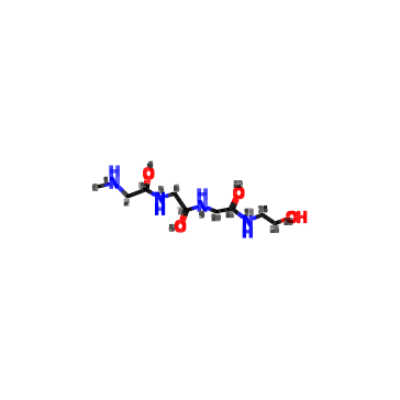 CNCC(=O)NCC(=O)NCC(=O)NCCO